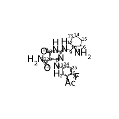 CC(=O)c1cc(Nc2nc(NCC3(N)CCCCC3)[nH]c(=O)c2C(N)=O)ccc1F